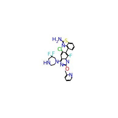 Nc1nc2c(-c3c(Cl)cc4c(N5CCNCC(F)(F)C5)nc(OCc5ccccn5)nc4c3F)cccc2s1